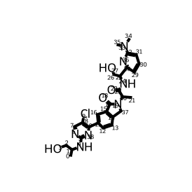 CC(CO)Nc1ncc(Cl)c(-c2ccc3c(c2)C(=O)N(C(C)C(=O)NC(CO)c2cccc(N(C)C)n2)C3)n1